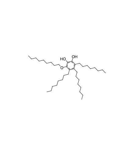 CCCCCCCCCOc1c(O)c(O)c(CCCCCCCC)c(CCCCCCCC)c1CCCCCCCC